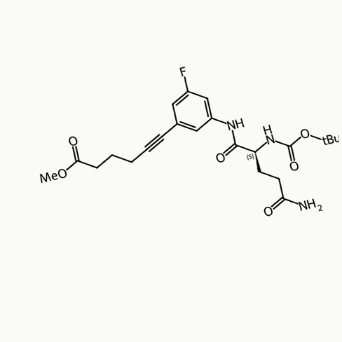 COC(=O)CCCC#Cc1cc(F)cc(NC(=O)[C@H](CCC(N)=O)NC(=O)OC(C)(C)C)c1